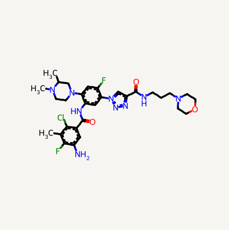 Cc1c(F)c(N)cc(C(=O)Nc2cc(-n3cc(C(=O)NCCCN4CCOCC4)nn3)c(F)cc2N2CCN(C)C(C)C2)c1Cl